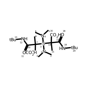 C[N](C)[Ti]([N](C)C)([C](C)(C(=O)O)C(=O)NC(C)(C)C)[C](C)(C(=O)O)C(=O)NC(C)(C)C